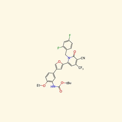 CCOc1ccc(-c2coc(-c3cc(C(F)(F)F)c(C#N)c(=O)n3Cc3ccc(F)cc3F)c2)cc1NC(=O)OC(C)(C)C